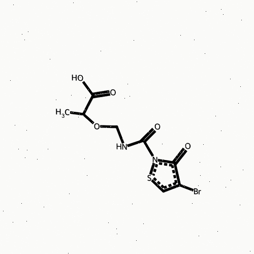 CC(OCNC(=O)n1scc(Br)c1=O)C(=O)O